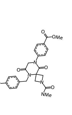 CNC(=O)N1CC2(C1)C(=O)N(c1ccc(C(=O)OC)cc1)CC(=O)N2Cc1ccc(C(F)(F)F)cc1